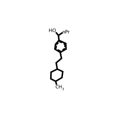 CCCC(O)c1ccc(CCC2CCC(C)CC2)cc1